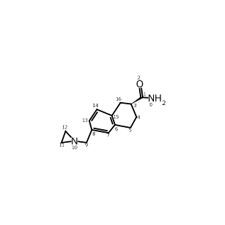 NC(=O)[C@H]1CCc2cc(CN3CC3)ccc2C1